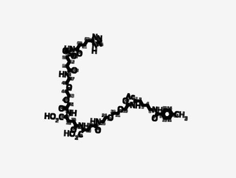 CC(=O)C(CCCCNC(=O)c1ccc(C)cc1)NC(=O)COCCOCCNC(=O)CCC(NC(=O)CCC(NC(=O)COCCOCCNC(=O)CCCS(=O)(=O)NC(=O)CCCc1nnn[nH]1)C(=O)O)C(=O)O